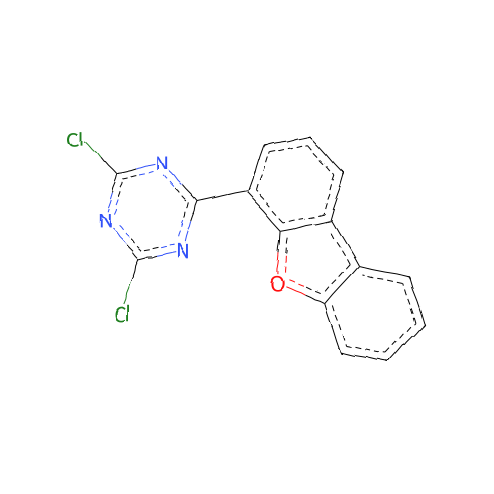 Clc1nc(Cl)nc(-c2cccc3c2oc2ccccc23)n1